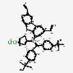 C=Cc1ccc2c(c1)-c1cc(C=C)c[c]([Zr+2]([C]3=CC=CC3)=[C](c3ccc(C(C)(C)C)cc3)c3ccc(C(C)(C)C)cc3)c1C2.[Cl-].[Cl-]